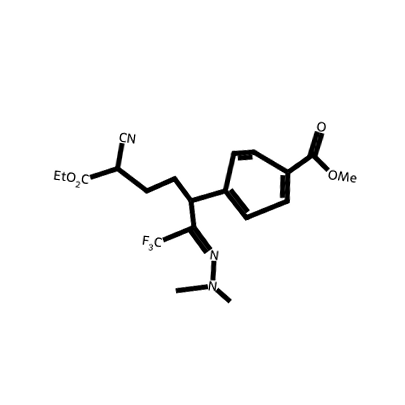 CCOC(=O)C(C#N)CCC(C(=NN(C)C)C(F)(F)F)c1ccc(C(=O)OC)cc1